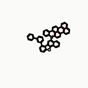 c1ccc(-c2ccc(-c3ccccc3N(c3ccc(-c4ccccc4)cc3)c3cc4c(oc5cccc(-c6cccc(-c7ccccc7)c6)c54)c4ccccc34)cc2)cc1